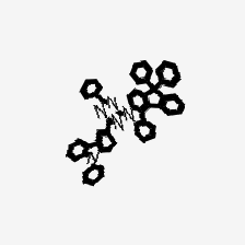 c1ccc(-c2nc(-c3ccc4c(c3)c3ccccc3n4-c3ccccc3)nc(-n3c4ccccc4c4c5c(ccc43)C(c3ccccc3)(c3ccccc3)c3ccccc3-5)n2)cc1